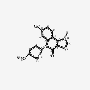 COc1ccc(-n2c(=O)c3ncn(C)c3c3ccc(Cl)cc32)cc1